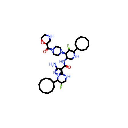 Nc1nn2c(c1C(=O)NC1CNC(C3CCCCCCCC3)C(F)C1N1CCN(C(=O)C3CNCCO3)CC1)NCC(F)C2C1CCCCCCCCC1